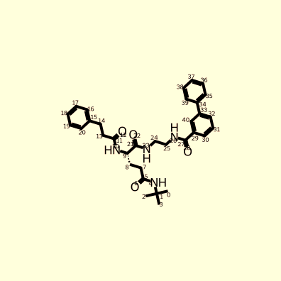 CC(C)(C)NC(=O)CC[C@H](NC(=O)CCc1ccccc1)C(=O)NCCNC(=O)c1cccc(-c2ccccc2)c1